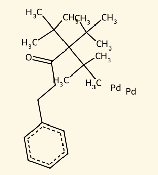 CC(C)(C)C(C(=O)CCc1ccccc1)(C(C)(C)C)C(C)(C)C.[Pd].[Pd]